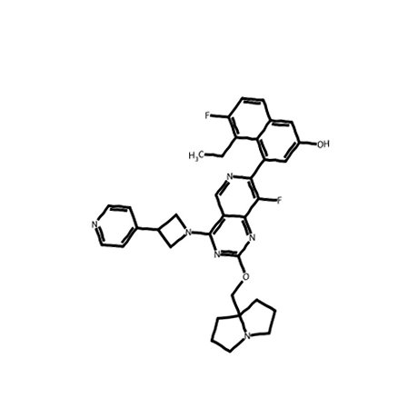 CCc1c(F)ccc2cc(O)cc(-c3ncc4c(N5CC(c6ccncc6)C5)nc(OCC56CCCN5CCC6)nc4c3F)c12